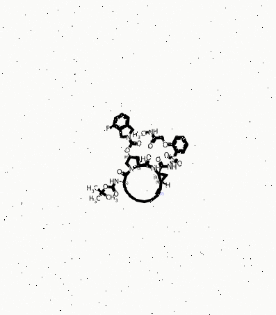 CNC(=O)COc1ccccc1S(=O)(=O)NC(=O)[C@@]12C[C@@H]1/C=C\CCCCC[C@H](NC(=O)OC(C)(C)C)C(=O)N1C[C@H](OC(=O)N3Cc4cccc(F)c4C3)C[C@H]1C(=O)N2